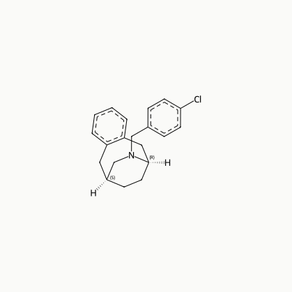 Clc1ccc(CN2C[C@H]3CC[C@@H]2Cc2ccccc2C3)cc1